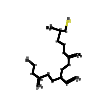 C=CC(CCC(=C)CCCC(C)CS)CCC(=C)CCC(C)C